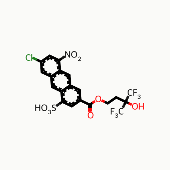 O=C(OCCC(O)(C(F)(F)F)C(F)(F)F)c1cc(S(=O)(=O)O)c2cc3cc(Cl)cc([N+](=O)[O-])c3cc2c1